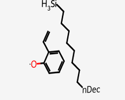 C=Cc1ccccc1[O].CCCCCCCCCCCCCCCCCC[SiH3]